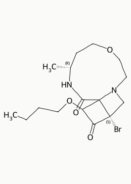 CCCCOC1C(=O)[C@]2(Br)CN3CCOCC[C@@H](C)NC(=O)C132